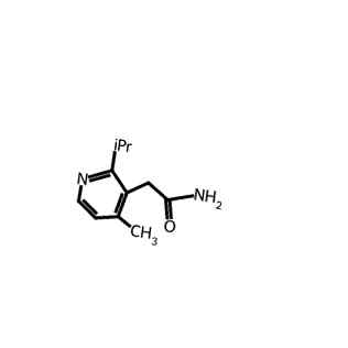 Cc1ccnc(C(C)C)c1CC(N)=O